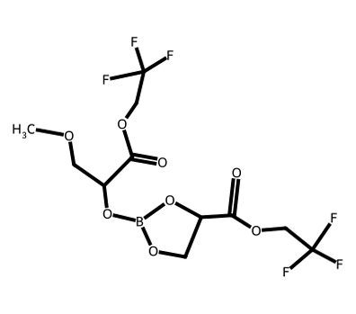 COCC(OB1OCC(C(=O)OCC(F)(F)F)O1)C(=O)OCC(F)(F)F